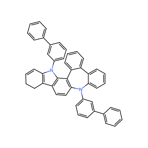 C1=Cc2c(c3ccc4c(c3n2-c2cccc(-c3ccccc3)c2)-c2ccccc2-c2ccccc2N4c2cccc(-c3ccccc3)c2)CC1